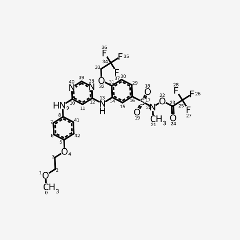 COCCOc1ccc(Nc2cc(Nc3cc(S(=O)(=O)N(C)OC(=O)C(F)(F)F)ccc3OCC(F)(F)F)ncn2)cc1